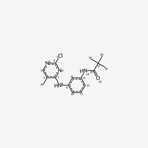 Cc1cnc(Cl)nc1Nc1cccc(NC(=O)C(C)(C)C)c1